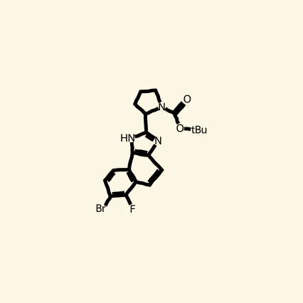 CC(C)(C)OC(=O)N1CCCC1c1nc2ccc3c(F)c(Br)ccc3c2[nH]1